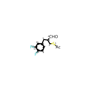 CC(=O)SCC(C=O)Cc1ccc(F)c(F)c1